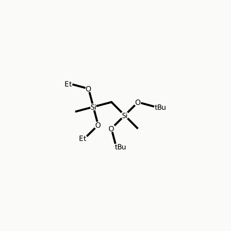 CCO[Si](C)(C[Si](C)(OC(C)(C)C)OC(C)(C)C)OCC